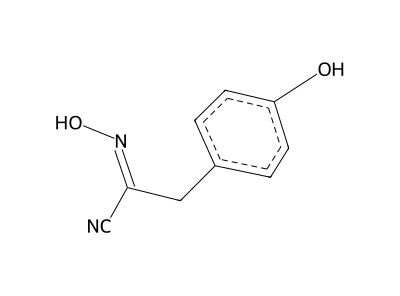 N#CC(Cc1ccc(O)cc1)=NO